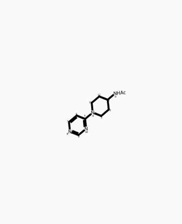 CC(=O)NC1CCN(c2ccncn2)CC1